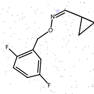 Fc1ccc(F)c(CO/N=[C]\C2CC2)c1